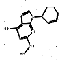 CCCNc1nc(N)c2ncn(C3C=CCCC3)c2n1